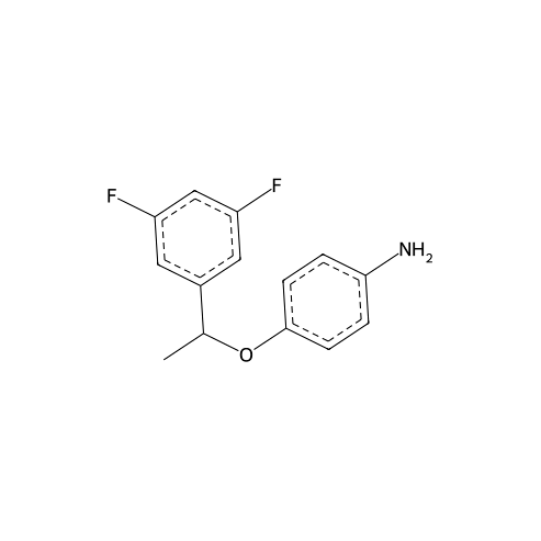 CC(Oc1ccc(N)cc1)c1cc(F)cc(F)c1